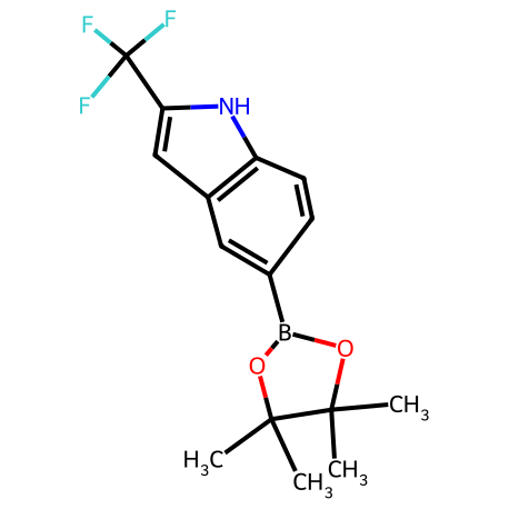 CC1(C)OB(c2ccc3[nH]c(C(F)(F)F)cc3c2)OC1(C)C